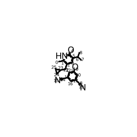 Cc1[nH]c(=O)c(C(C)C)c(Oc2cc(C#N)cc(C#N)c2)c1CC1CC1